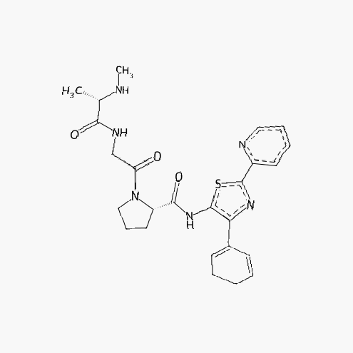 CN[C@@H](C)C(=O)NCC(=O)N1CCC[C@H]1C(=O)Nc1sc(-c2ccccn2)nc1C1=CCCC=C1